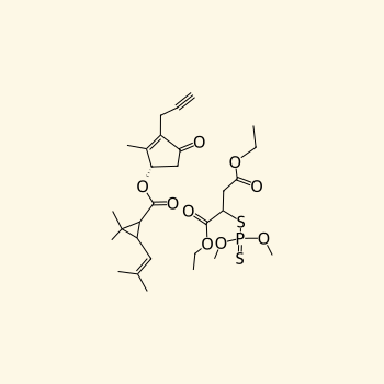 C#CCC1=C(C)[C@@H](OC(=O)C2C(C=C(C)C)C2(C)C)CC1=O.CCOC(=O)CC(SP(=S)(OC)OC)C(=O)OCC